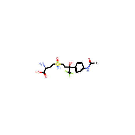 CC(=O)Nc1ccc(C(O)(CCS(=N)(=O)CC[C@H](N)C(=O)O)C(F)(F)F)cc1